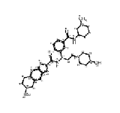 CN1CCCC(NC(=O)c2cccc([C@@H](CCN3CCC(O)CC3)NC(=O)c3nc4cc5c(nc4s3)CC[C@H](C(C)(C)C)C5)c2)C1